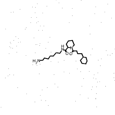 NCCCCCCCNC(=O)C1CCCCN1C(=O)CCCC1CCCCC1